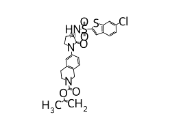 C=C(C)OC(=O)N1CCc2cc(N3CC[C@H](NS(=O)(=O)c4cc5ccc(Cl)cc5s4)C3=O)ccc2C1